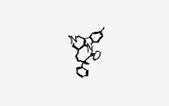 Cc1ccc2c(c1)c1c3n2C(=O)C(C)(c2ccccc2)CCC3CN(C)C1